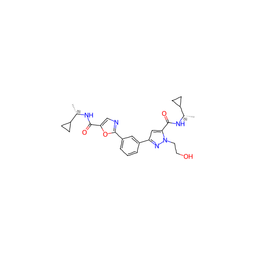 C[C@H](NC(=O)c1cnc(-c2cccc(-c3cc(C(=O)N[C@@H](C)C4CC4)n(CCO)n3)c2)o1)C1CC1